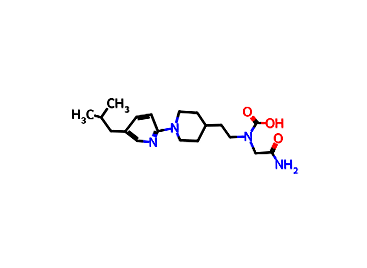 CC(C)Cc1ccc(N2CCC(CCN(CC(N)=O)C(=O)O)CC2)nc1